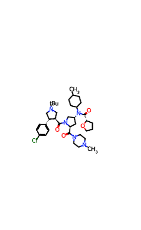 CC1CCC(N(C(=O)[C@@H]2CCCO2)[C@@H]2C[C@@H](C(=O)N3CCN(C)CC3)N(C(=O)[C@@H]3CN(C(C)(C)C)C[C@H]3c3ccc(Cl)cc3)C2)CC1